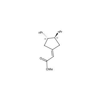 CCC[C@H]1CC(=CC(=O)OC)C[C@@H]1CCC